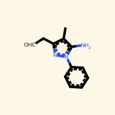 Cc1c(CC=O)nn(-c2ccccc2)c1N